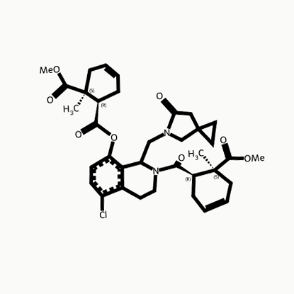 COC(=O)[C@@]1(C)CC=CC[C@H]1C(=O)Oc1ccc(Cl)c2c1C(CN1CC3(CC3)CC1=O)N(C(=O)[C@@H]1CC=CC[C@]1(C)C(=O)OC)CC2